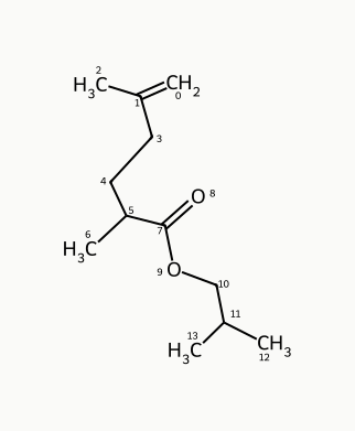 C=C(C)CCC(C)C(=O)OCC(C)C